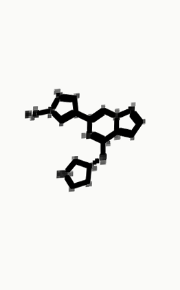 Cn1cc(-c2cn3nccc3c(O[C@@H]3CCNC3)n2)cn1